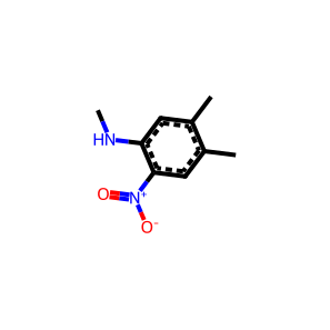 CNc1cc(C)c(C)cc1[N+](=O)[O-]